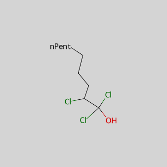 CCCCCCCCC(Cl)C(O)(Cl)Cl